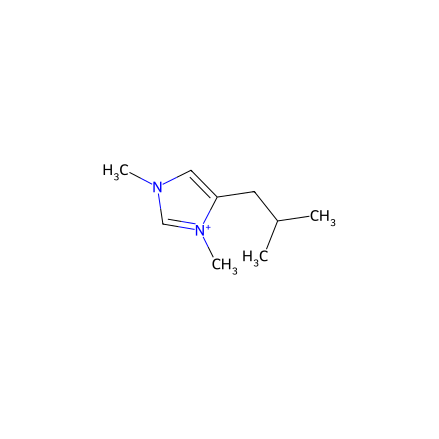 CC(C)Cc1cn(C)c[n+]1C